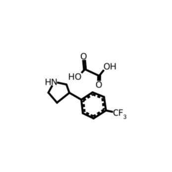 FC(F)(F)c1ccc(C2CCNC2)cc1.O=C(O)C(=O)O